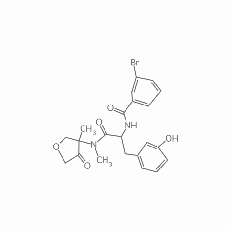 CN(C(=O)C(Cc1cccc(O)c1)NC(=O)c1cccc(Br)c1)C1(C)COCC1=O